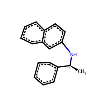 C[C@H](Nc1ccc2ccccc2c1)c1ccccc1